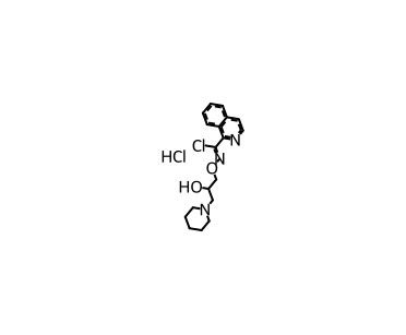 Cl.OC(CON=C(Cl)c1nccc2ccccc12)CN1CCCCC1